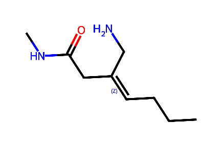 CCC/C=C(\CN)CC(=O)NC